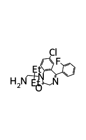 CCC(CC)(CN)N1C(=O)CN=C(c2ccccc2F)c2cc(Cl)ccc21